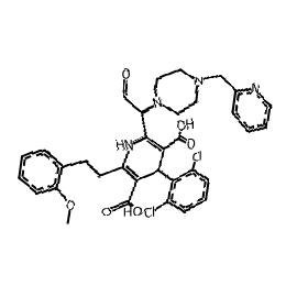 COc1ccccc1CCC1=C(C(=O)O)C(c2c(Cl)cccc2Cl)C(C(=O)O)=C(C(C=O)N2CCN(Cc3ccccn3)CC2)N1